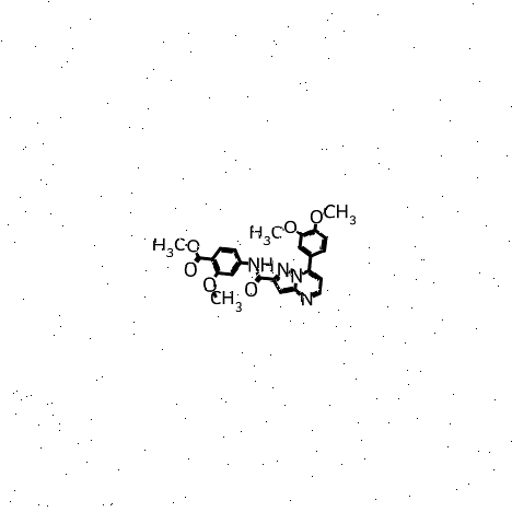 COC(=O)c1ccc(NC(=O)c2cc3nccc(-c4ccc(OC)c(OC)c4)n3n2)cc1OC